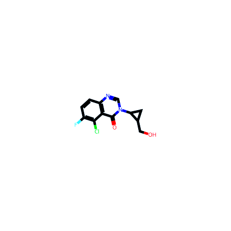 O=c1c2c(Cl)c(F)ccc2ncn1C1CC1CO